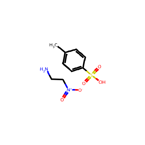 Cc1ccc(S(=O)(=O)O)cc1.NCC[N+](=O)[O-]